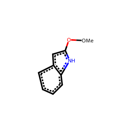 COOc1cc2ccccc2[nH]1